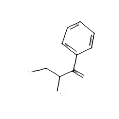 COC(CN)C(=O)c1ccccc1